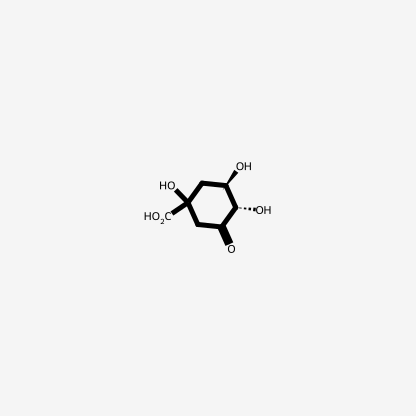 O=C1CC(O)(C(=O)O)C[C@@H](O)[C@@H]1O